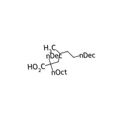 CCCCCCCCCCCCC(C)CC(CCCCCCCC)(CCCCCCCCCC)C(=O)O